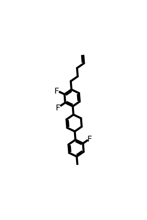 C=CCCCc1ccc(C2C=CC(c3ccc(C)cc3F)CC2)c(F)c1F